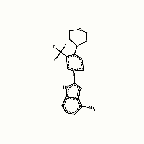 Nc1cccc2[nH]c(-c3ccc(N4CCOCC4)c(C(F)(F)F)c3)nc12